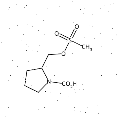 CS(=O)(=O)OCC1CCCN1C(=O)O